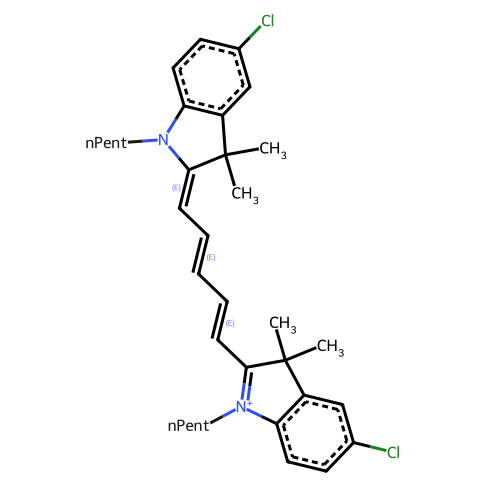 CCCCCN1/C(=C/C=C/C=C/C2=[N+](CCCCC)c3ccc(Cl)cc3C2(C)C)C(C)(C)c2cc(Cl)ccc21